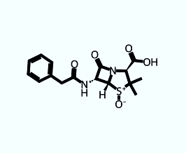 CC1(C)[C@H](C(=O)O)N2C(=O)[C@@H](NC(=O)Cc3ccccc3)[C@H]2[S+]1[O-]